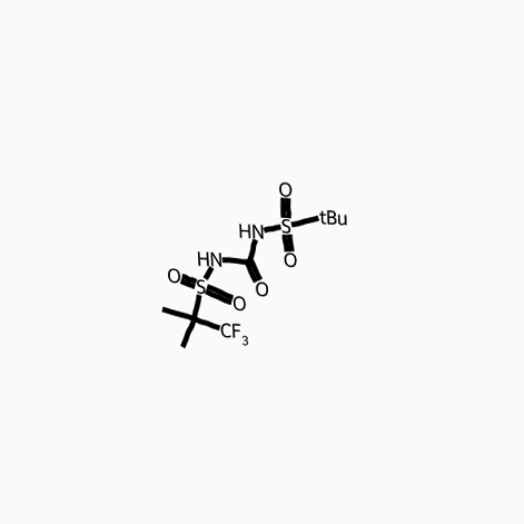 CC(C)(C)S(=O)(=O)NC(=O)NS(=O)(=O)C(C)(C)C(F)(F)F